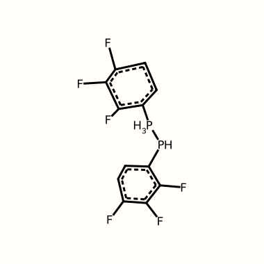 Fc1ccc(P[PH3]c2ccc(F)c(F)c2F)c(F)c1F